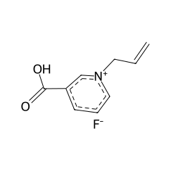 C=CC[n+]1cccc(C(=O)O)c1.[F-]